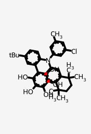 Cc1cc(Cl)cc(N(c2ccc3c(c2)C(C)(C)CCC3(C)C)c2ccc(C(C)(C)C)cc2-c2c(O)c(O)c(O)c(O)c2O)c1